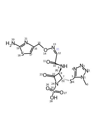 Cn1nnnc1S[C@H]1[C@H](NC(=O)/C=N\OCc2csc(N)n2)C(=O)N1S(=O)(=O)O